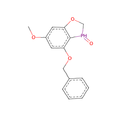 COc1cc(OCc2ccccc2)c2c(c1)OC[PH]2=O